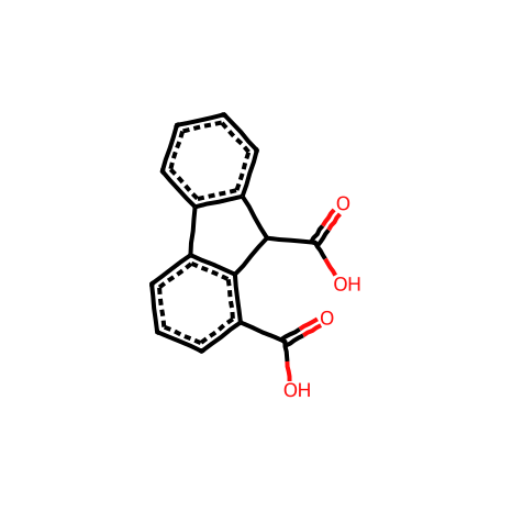 O=C(O)c1cccc2c1C(C(=O)O)c1ccccc1-2